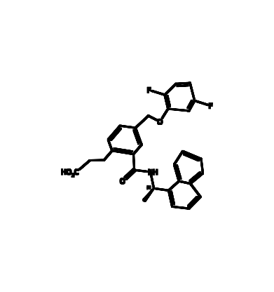 C[C@@H](NC(=O)c1cc(COc2cc(F)ccc2F)ccc1CCC(=O)O)c1cccc2ccccc12